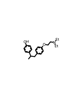 CCN(CC)CCOc1ccc(CC(C)c2ccc(O)cc2)cc1